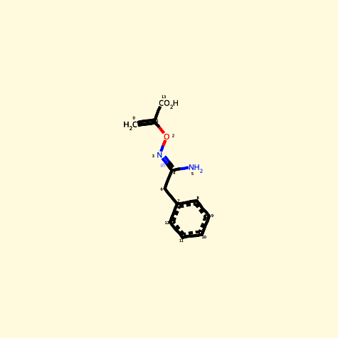 C=C(O/N=C(\N)Cc1ccccc1)C(=O)O